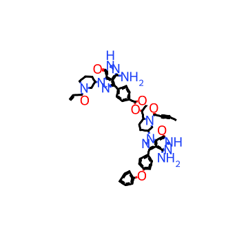 C=CC(=O)N1CCCC(n2nc(-c3ccc(C4OCC(C5CCC(n6nc(-c7ccc(Oc8ccccc8)cc7)c7c(N)n[nH]c(=O)c76)CN5C(=O)C#CC)O4)cc3)c3c(N)n[nH]c(=O)c32)C1